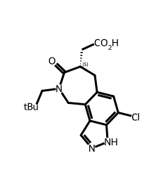 CC(C)(C)CN1Cc2c(cc(Cl)c3[nH]ncc23)C[C@@H](CC(=O)O)C1=O